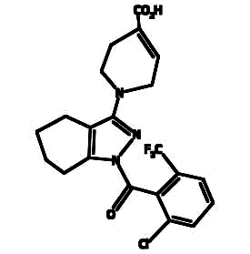 O=C(O)C1=CCN(c2nn(C(=O)c3c(Cl)cccc3C(F)(F)F)c3c2CCCC3)CC1